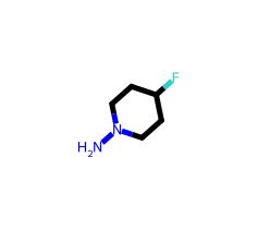 NN1CCC(F)CC1